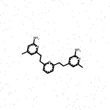 Cc1cc(N)nc(CCc2cccc(CCc3cc(C)nc(N)c3)n2)c1